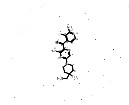 CC1(CN)CCN(c2cnc(C(=N)c3ccnc(N)c3Cl)c(N)n2)CC1